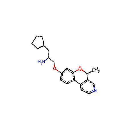 CC1Oc2cc(OCC(N)CC3CCCC3)ccc2-c2ccncc21